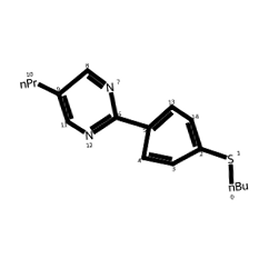 CCCCSc1ccc(-c2ncc(CCC)cn2)cc1